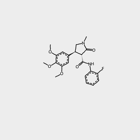 COc1cc([C@H]2CN(C)C(=O)[C@@H]2C(=O)Nc2ccccc2F)cc(OC)c1OC